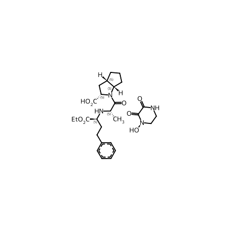 CCOC(=O)[C@H](CCc1ccccc1)N[C@@H](C)C(=O)N1[C@H](C(=O)O)C[C@@H]2CCC[C@@H]21.O=C1NCCN(O)C1=O